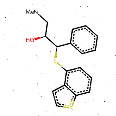 CNC[C@H](O)[C@H](Sc1cccc2sccc12)c1ccccc1